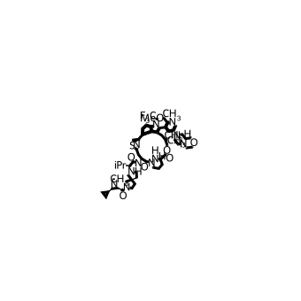 CO[C@@H](C)c1ncc(N2CCN3CCOC[C@@H]3C2)cc1-c1c2c3cc(ccc3n1CC(F)(F)F)-c1csc(n1)C[C@H](NC(=O)[C@H](C(C)C)N1CC[C@]3(CCN(C(=O)[C@H]4[C@@H](C5CC5)N4C)C3)C1)C(=O)N1CCC[C@H](N1)C(=O)OCC(C)(C)C2